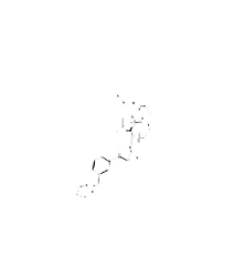 N#CN1CCN2CCN(c3ncc(-c4cccc(CN5CCC5)c4)s3)C(=O)[C@@H]2C1